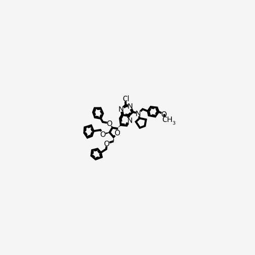 COc1ccc(CN(c2nc(Cl)nc3cc([C@@H]4O[C@H](COCc5ccccc5)[C@@H](OCc5ccccc5)[C@H]4OCc4ccccc4)cnc23)C2CCCC2)cc1